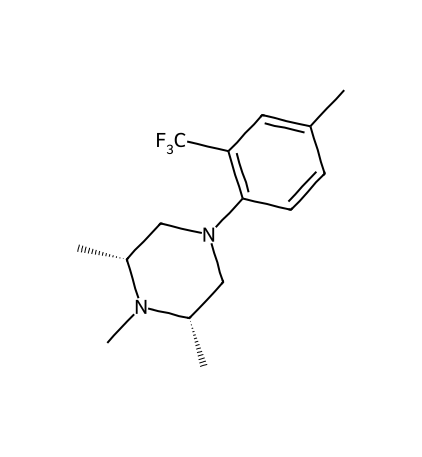 Cc1ccc(N2C[C@@H](C)N(C)[C@@H](C)C2)c(C(F)(F)F)c1